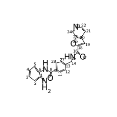 Nc1ccccc1NC(=O)c1ccc(CNC(=O)c2cc3ccncc3o2)cc1